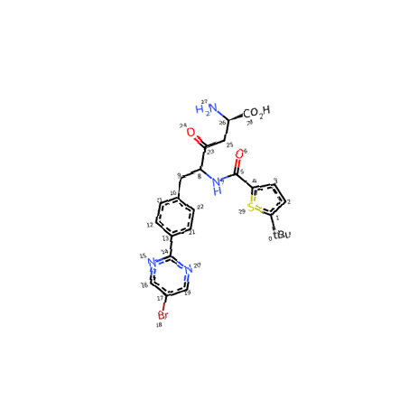 CC(C)(C)c1ccc(C(=O)NC(Cc2ccc(-c3ncc(Br)cn3)cc2)C(=O)C[C@@H](N)C(=O)O)s1